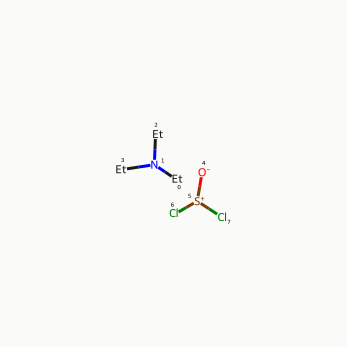 CCN(CC)CC.[O-][S+](Cl)Cl